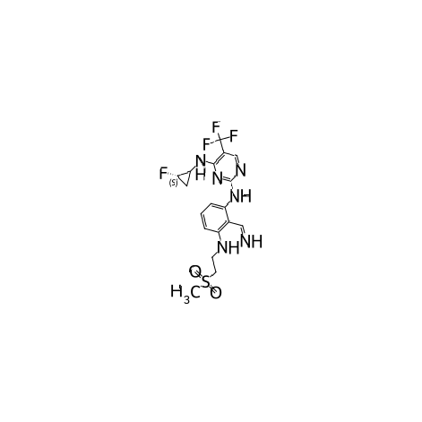 CS(=O)(=O)CCNc1cccc(Nc2ncc(C(F)(F)F)c(NC3C[C@@H]3F)n2)c1C=N